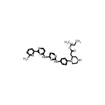 CC[C@H](C)OC(=O)CC1CNCCN1c1ccc(Nc2nccc(Nc3ccnc(-c4cccc(C)n4)n3)n2)cc1